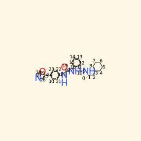 C[C@@H](CC1CCCCC1)NCc1ccccc1NC(=O)Nc1ccc(-c2cnco2)cc1